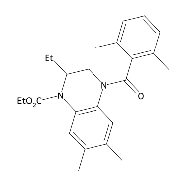 CCOC(=O)N1c2cc(C)c(C)cc2N(C(=O)c2c(C)cccc2C)CC1CC